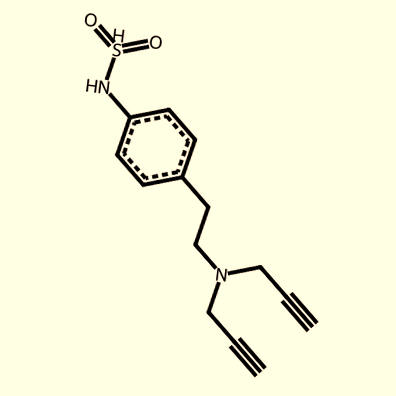 C#CCN(CC#C)CCc1ccc(N[SH](=O)=O)cc1